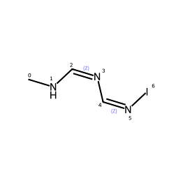 CN/C=N\C=N/I